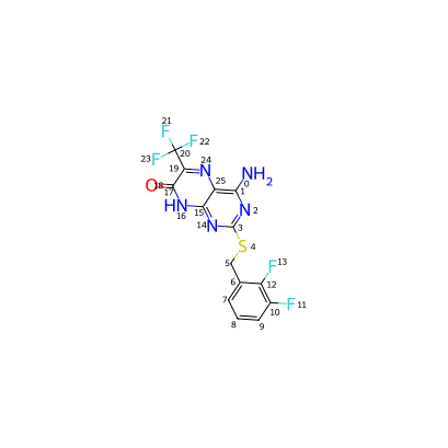 Nc1nc(SCc2cccc(F)c2F)nc2[nH]c(=O)c(C(F)(F)F)nc12